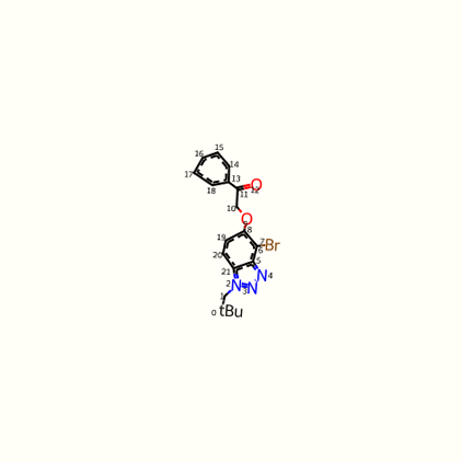 CC(C)(C)Cn1nnc2c(Br)c(OCC(=O)c3ccccc3)ccc21